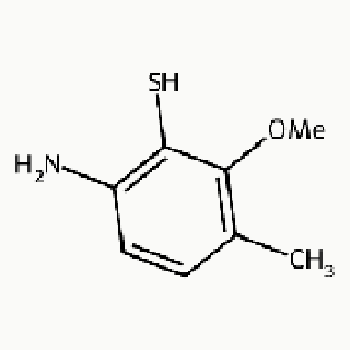 COc1c(C)ccc(N)c1S